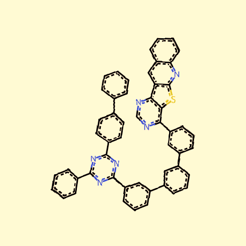 c1ccc(-c2ccc(-c3nc(-c4ccccc4)nc(-c4cccc(-c5cccc(-c6cccc(-c7ncnc8c7sc7nc9ccccc9cc78)c6)c5)c4)n3)cc2)cc1